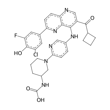 O=C(O)NC1CCCN(c2ccc(Nc3c(C(=O)C4CCC4)cnc4ccc(-c5cc(F)c(O)c(Cl)c5)nc34)cn2)C1